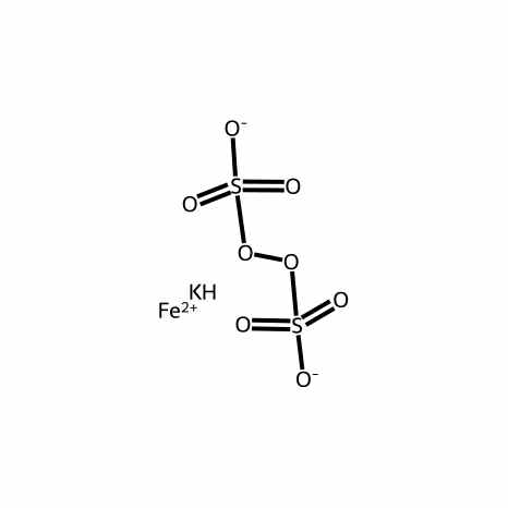 O=S(=O)([O-])OOS(=O)(=O)[O-].[Fe+2].[KH]